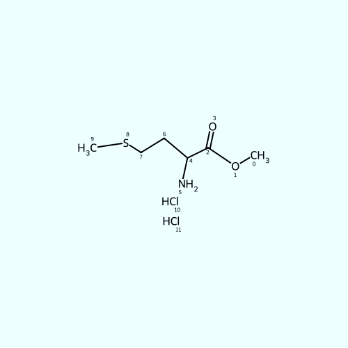 COC(=O)C(N)CCSC.Cl.Cl